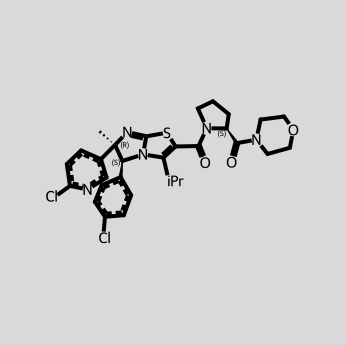 CC(C)C1=C(C(=O)N2CCC[C@H]2C(=O)N2CCOCC2)SC2=N[C@](C)(c3ccc(Cl)nc3)[C@H](c3ccc(Cl)cc3)N21